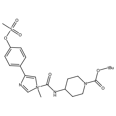 CC(C)(C)OC(=O)N1CCC(NC(=O)[N+]2(C)C=NC(c3ccc(OS(C)(=O)=O)cc3)=C2)CC1